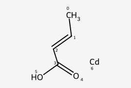 CC=CC(=O)O.[Cd]